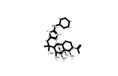 C=C(C)[C@@H]1CCC2[C@@]34CO[C@@](O)([C@@H](O)C3C(C)(C)Cc3sc(NC5CCCCC5)nc34)[C@@]2(C(C)=O)[C@@H]1O